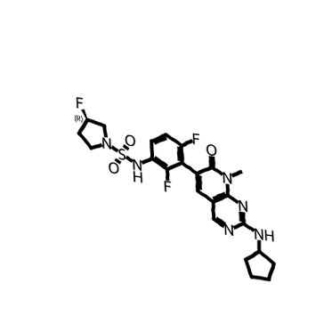 Cn1c(=O)c(-c2c(F)ccc(NS(=O)(=O)N3CC[C@@H](F)C3)c2F)cc2cnc(NC3CCCC3)nc21